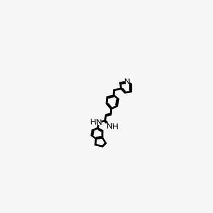 N=C(/C=C/c1ccc(Cc2cccnc2)cc1)Nc1ccc2c(c1)CCC2